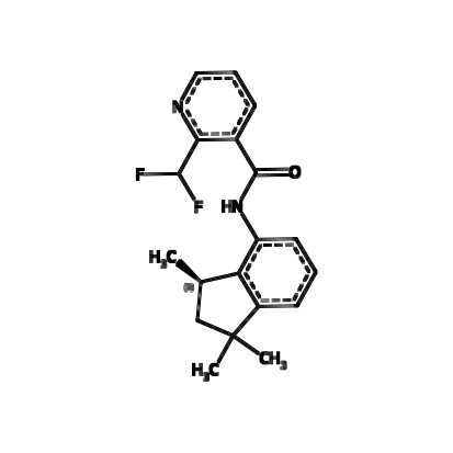 C[C@@H]1CC(C)(C)c2cccc(NC(=O)c3cccnc3C(F)F)c21